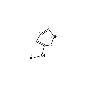 OBC1=CC=CNC1